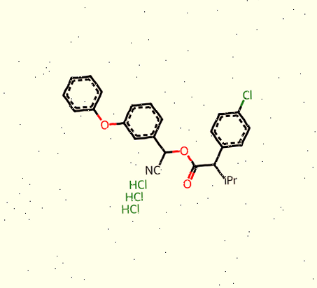 CC(C)C(C(=O)OC(C#N)c1cccc(Oc2ccccc2)c1)c1ccc(Cl)cc1.Cl.Cl.Cl